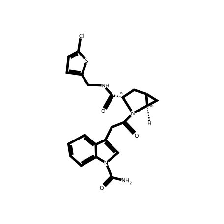 NC(=O)n1cc(CC(=O)N2[C@@H]3CC3C[C@H]2C(=O)NCc2ccc(Cl)s2)c2ccccc21